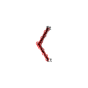 CCOCCOCCOCCOCCOCOC(=O)OCOCCOCCOCCOCCOCC